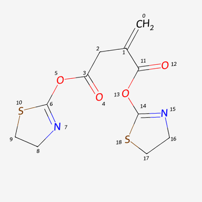 C=C(CC(=O)OC1=NCCS1)C(=O)OC1=NCCS1